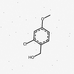 COc1ccc(CO)c(Cl)c1